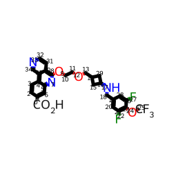 O=C(O)c1ccc2c(c1)nc(OCCOCC1CC(NCc3cc(F)c(OC(F)(F)F)c(F)c3)C1)c1ccncc12